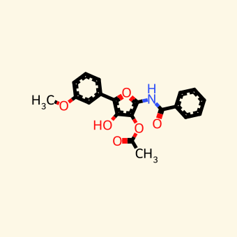 COc1cccc(-c2oc(NC(=O)c3ccccc3)c(OC(C)=O)c2O)c1